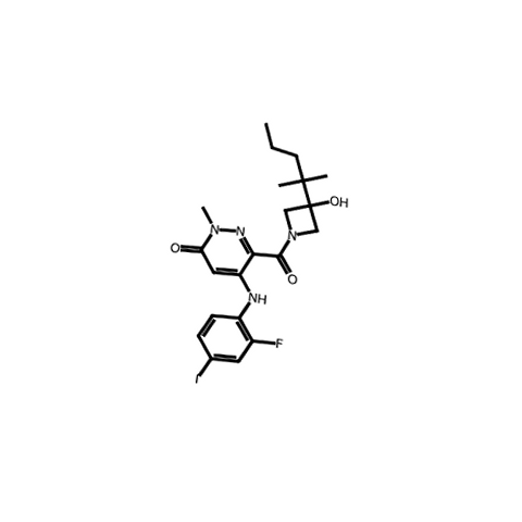 CCCC(C)(C)C1(O)CN(C(=O)c2nn(C)c(=O)cc2Nc2ccc(I)cc2F)C1